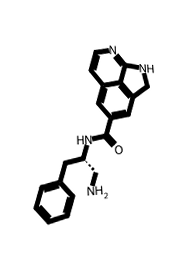 NC[C@H](Cc1ccccc1)NC(=O)c1cc2c3c(nccc3c1)NC2